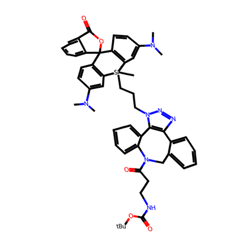 CN(C)c1ccc2c(c1)[Si](C)(CCCn1nnc3c1-c1ccccc1N(C(=O)CCNC(=O)OC(C)(C)C)Cc1ccccc1-3)c1cc(N(C)C)ccc1C21OC(=O)c2ccccc21